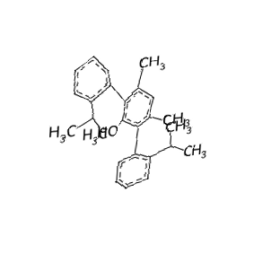 Cc1cc(C)c(-c2ccccc2C(C)C)c(O)c1-c1ccccc1C(C)C